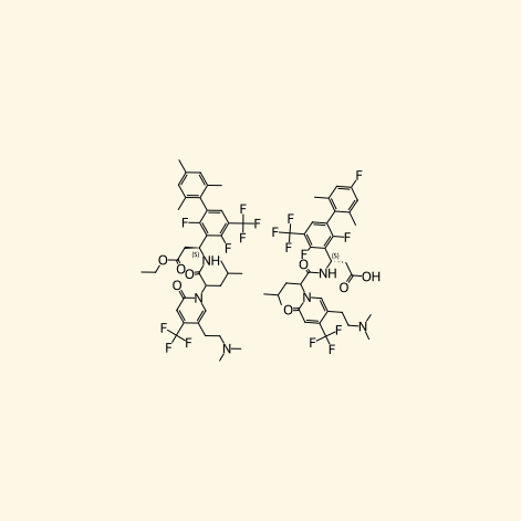 CCOC(=O)C[C@H](NC(=O)C(CC(C)C)n1cc(CCN(C)C)c(C(F)(F)F)cc1=O)c1c(F)c(-c2c(C)cc(C)cc2C)cc(C(F)(F)F)c1F.Cc1cc(F)cc(C)c1-c1cc(C(F)(F)F)c(F)c([C@H](CC(=O)O)NC(=O)C(CC(C)C)n2cc(CCN(C)C)c(C(F)(F)F)cc2=O)c1F